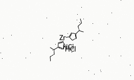 CCCC(C)C1=CC[C]([Zr][C]2=CC(C(C)CCC)=CC2)=C1.Cl.Cl